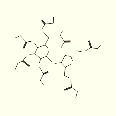 CCC(=O)C[C@H]1C(OC2OC(COC(=O)CC)C(OC(=O)CC)C(OC(=O)CC)C2OC(=O)CC)C(COC(=O)CC)O[C@H]1COC(=O)CC